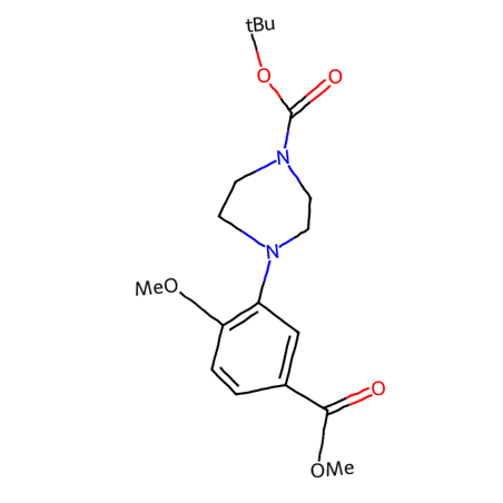 COC(=O)c1ccc(OC)c(N2CCN(C(=O)OC(C)(C)C)CC2)c1